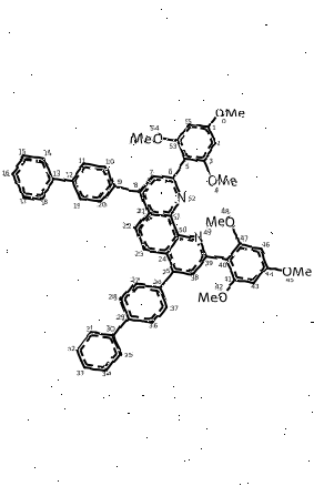 COc1cc(OC)c(-c2cc(-c3ccc(-c4ccccc4)cc3)c3ccc4c(-c5ccc(-c6ccccc6)cc5)cc(-c5c(OC)cc(OC)cc5OC)nc4c3n2)c(OC)c1